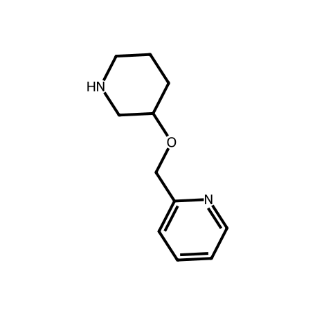 c1ccc(COC2CCCNC2)nc1